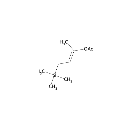 CC(=O)OC(C)=CC[Si](C)(C)C